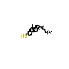 CC(C)CCC[C@@H](C)C1CC[C@H]2[C@@H]3CC=C4C[C@@H](S)CC[C@]4(C)[C@H]3CC[C@]12C